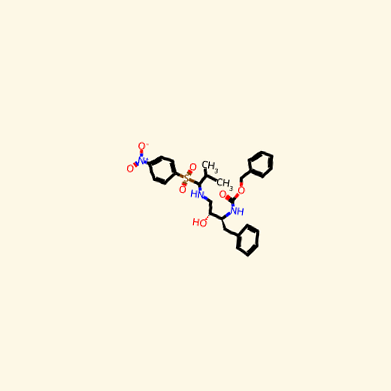 CC(C)C(NC[C@@H](O)[C@H](Cc1ccccc1)NC(=O)OCc1ccccc1)S(=O)(=O)c1ccc([N+](=O)[O-])cc1